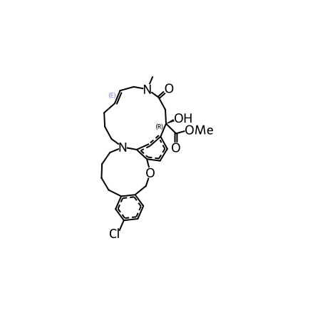 COC(=O)[C@@]1(O)CC(=O)N(C)C/C=C/CCCN2CCCCc3cc(Cl)ccc3COc3ccc1cc32